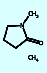 C.CN1CCCC1=O